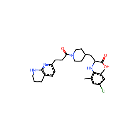 Cc1cc(Cl)cc(C)c1NC(CC1CCN(C(=O)CCc2ccc3c(n2)NCCC3)CC1)C(=O)O